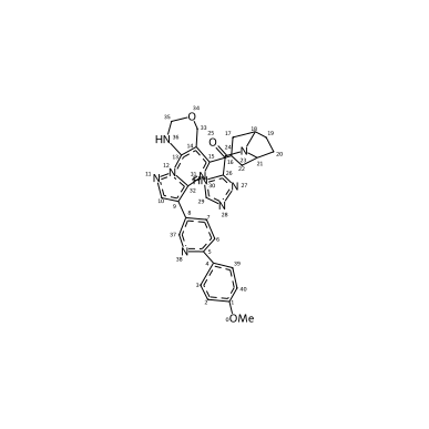 COc1ccc(-c2ccc(-c3cnn4c5c(c(C6CC7CCC(C6)N7C(=O)c6nnc[nH]6)nc34)COCN5)cn2)cc1